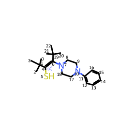 CC(C)(C)/C(S)=C(/N1CCN(c2ccccc2)CC1)C(C)(C)C